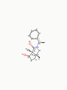 C[C@H](c1ccccc1)N1C[C@]2(C)CCC(=O)[C@@H]2C1=O